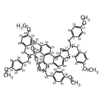 COc1ccc(CN(Cc2ccc(OC)cc2)c2nc3c(-c4ccc(Br)c(S(=O)(=O)N(Cc5ccc(OC)cc5)Cc5ccc(OC)cc5)c4-c4nnn(Cc5ccc(OC)cc5)n4)cccc3s2)cc1